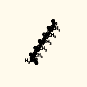 CC(COC(=O)c1ccccc1)OC(=O)c1ccccc1C(=O)OCC(C)OC(=O)c1ccccc1C(=O)OCC(C)OC(=O)c1ccccc1C(=O)OCC(C)OC(=O)c1ccccc1C(=O)OCC(C)OC(=O)c1ccccc1C(=O)OC(C)COC(=O)c1ccccc1